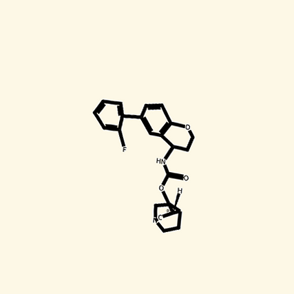 O=C(NC1CCOc2ccc(-c3ccccc3F)cc21)O[C@H]1CN2CCC1CC2